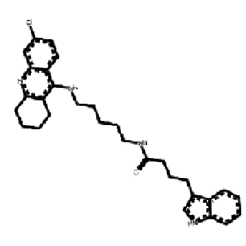 O=C(CCCc1c[nH]c2ccccc12)NCCCCCNc1c2c(nc3cc(Cl)ccc13)CCCC2